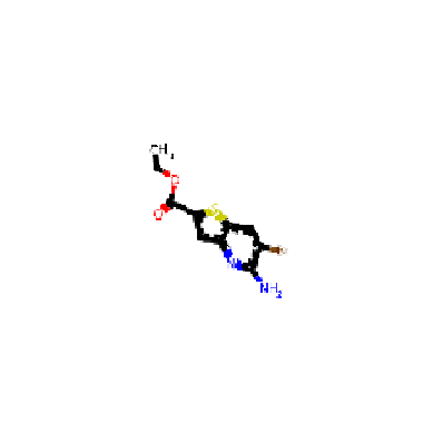 CCOC(=O)c1cc2nc(N)c(Br)cc2s1